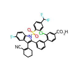 N#CC1=C(c2c(-c3cccc(-c4ccc(C(=O)O)cc4Cl)c3)n(S(=O)(=O)c3ccc(C(F)F)cc3)c3ccc(F)cc23)CCCC1